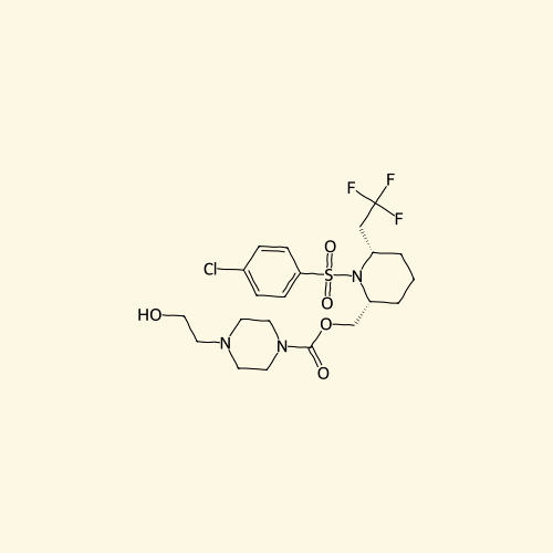 O=C(OC[C@H]1CCC[C@@H](CC(F)(F)F)N1S(=O)(=O)c1ccc(Cl)cc1)N1CCN(CCO)CC1